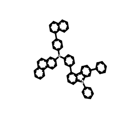 c1ccc(-c2ccc3c4c(-c5cccc(N(c6ccc(-c7cccc8ccccc78)cc6)c6ccc7c(ccc8ccccc87)c6)c5)cccc4n(-c4ccccc4)c3c2)cc1